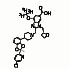 [2H]C([2H])([2H])Oc1cc(C(=O)O)cc2c1nc(CN1CCC(c3cccc4c3O[C@@](C)(c3ccc(Cl)cn3)O4)CC1)n2C[C@@H]1CCO1